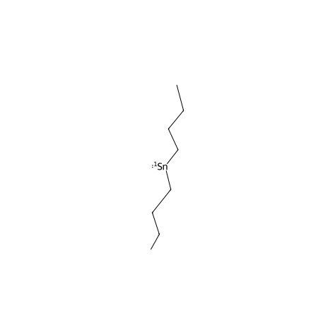 CCC[CH2][1Sn][CH2]CCC